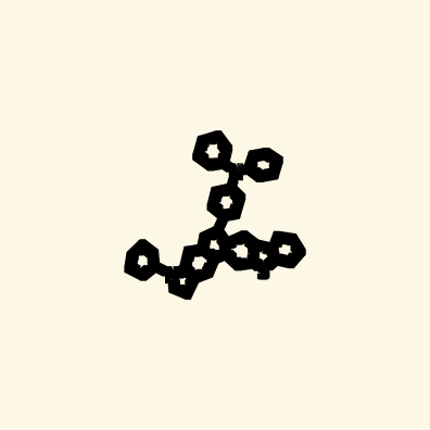 c1ccc(N(c2ccccc2)c2ccc(-c3cc4cc5c(ccn5-c5ccccc5)cc4c4cc5sc6ccccc6c5cc34)cc2)cc1